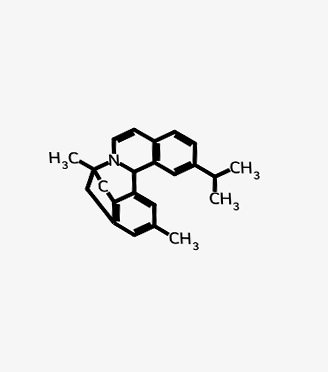 Cc1cc2c3c(c1)C1c4cc(C(C)C)ccc4C=CN1C(C)(C2)C3